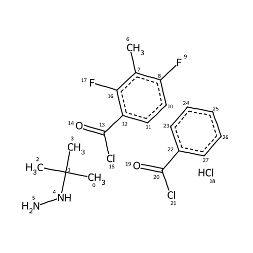 CC(C)(C)NN.Cc1c(F)ccc(C(=O)Cl)c1F.Cl.O=C(Cl)c1ccccc1